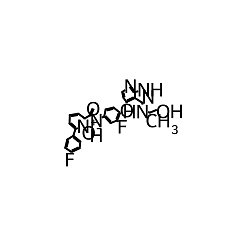 CC(CO)Nc1n[nH]c2nccc(Oc3ccc(NC(=O)c4cccc(-c5ccc(F)cc5)[n+]4[O-])cc3F)c12